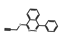 C#CCSc1nnc(-c2ccccc2)c2ccccc12